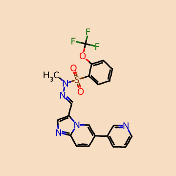 CN(/N=C/c1cnc2ccc(-c3cccnc3)cn12)S(=O)(=O)c1ccccc1OC(F)(F)F